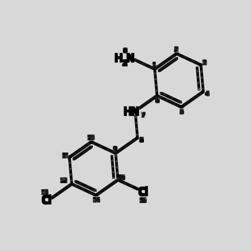 Nc1ccccc1NCc1ccc(Cl)cc1Cl